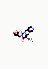 Cc1c([N+](=O)[O-])c(=O)n(Cc2ccoc2)c(=O)n1Cc1ccncc1